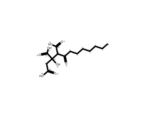 CCCCCCCC(=O)C(C(=O)O)C(O)(CC(=O)O)C(=O)O